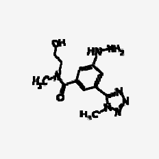 CN(CCO)C(=O)c1cc(NN)cc(-c2nnnn2C)c1